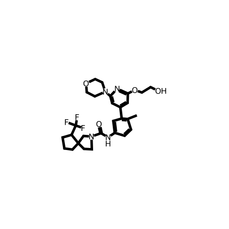 Cc1ccc(NC(=O)N2CCC3(CCCC3C(F)(F)F)C2)cc1-c1cc(OCCO)nc(N2CCOCC2)c1